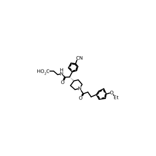 CCOc1ccc(CCC(=O)N2CCC([C@H](C(=O)NCCC(=O)O)c3ccc(C#N)cc3)CC2)cc1